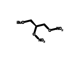 CC(C)COC[C@@H](CO[N+](=O)[O-])O[N+](=O)[O-]